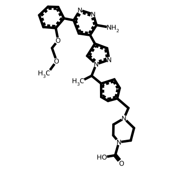 COCOc1ccccc1-c1cc(-c2cnn(C(C)c3ccc(CN4CCN(C(=O)O)CC4)cc3)c2)c(N)nn1